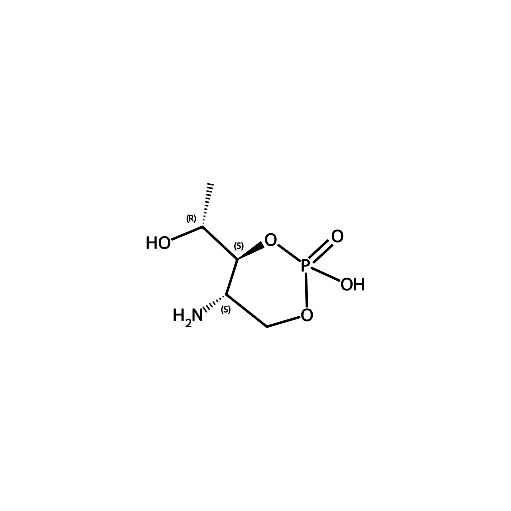 C[C@@H](O)[C@H]1OP(=O)(O)OC[C@@H]1N